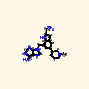 CC(=O)N1CCC=C(c2cc(Cn3cnc4c(N)ncnc43)c3[nH]c(CN)cc3c2)C1